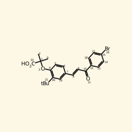 CC(C)(Oc1ccc(/C=C/C(=O)c2ccc(Br)cc2)cc1C(C)(C)C)C(=O)O